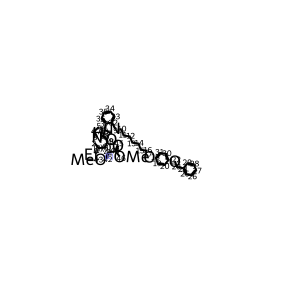 CC[C@H]1CN2CC[C@]3(C(=O)N(CCCCCCCOc4ccc(OCc5ccccc5)cc4)c4ccccc43)[C@@H]2C[C@@H]1/C(=C\OC)C(=O)OC